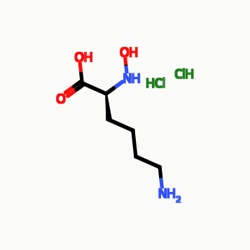 Cl.Cl.NCCCC[C@H](NO)C(=O)O